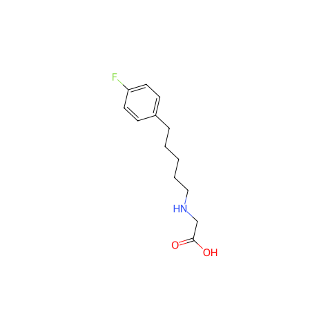 O=C(O)CNCCCCCc1ccc(F)cc1